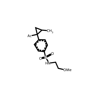 COCCNS(=O)(=O)c1ccc(C2(C(C)=O)CC2C)cc1